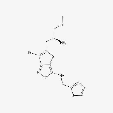 COC[C@@H](N)Cc1sc2c(NCc3cccs3)snc2c1Br